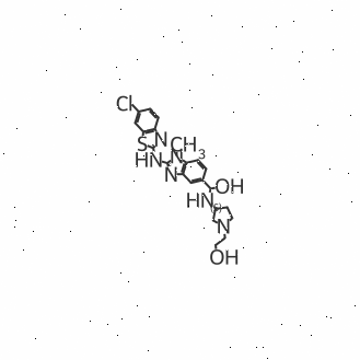 Cn1c(Nc2nc3ccc(Cl)cc3s2)nc2cc(C(O)N[C@H]3CCN(CCO)C3)ccc21